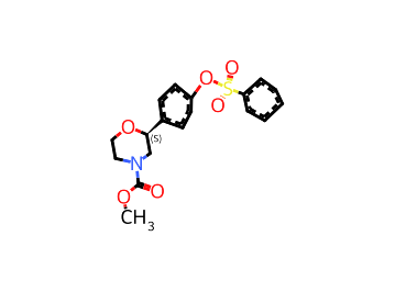 COC(=O)N1CCO[C@@H](c2ccc(OS(=O)(=O)c3ccccc3)cc2)C1